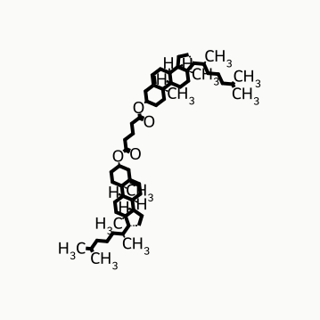 CC(C)CCC[C@@H](C)[C@H]1CC[C@H]2[C@@H]3CC=C4C[C@@H](OC(=O)CCCC(=O)O[C@H]5CC[C@@]6(C)C(=CC[C@H]7[C@@H]8CC[C@H]([C@H](C)CCCC(C)C)[C@@]8(C)CC[C@@H]76)C5)CC[C@]4(C)[C@H]3CC[C@]12C